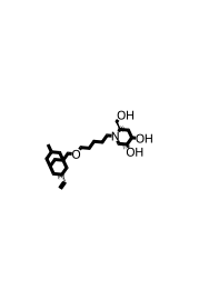 C=C[C@@H]1CC2CC(C)CC(COCCCCCN3C[C@H](O)C(O)C[C@@H]3CO)(C2)C1